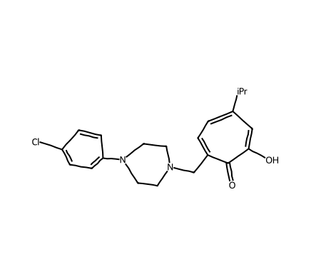 CC(C)c1ccc(CN2CCN(c3ccc(Cl)cc3)CC2)c(=O)c(O)c1